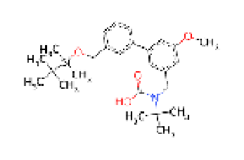 COc1cc(CN(C(=O)O)C(C)(C)C)cc(-c2cccc(CO[Si](C)(C)C(C)(C)C)c2)c1